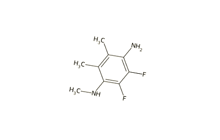 CNc1c(C)c(C)c(N)c(F)c1F